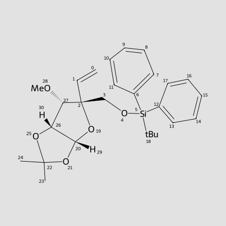 C=C[C@]1(CO[Si](c2ccccc2)(c2ccccc2)C(C)(C)C)O[C@@H]2OC(C)(C)O[C@@H]2[C@@H]1OC